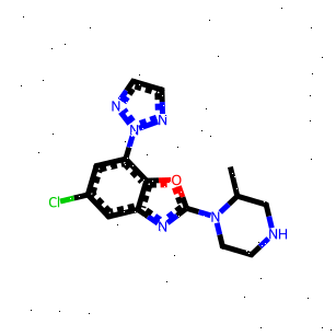 CC1CNCCN1c1nc2cc(Cl)cc(-n3nccn3)c2o1